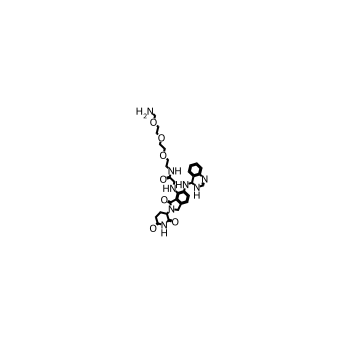 NCOCCOCCOCCNC(=O)CNc1c(NC2NC=Nc3ccccc32)ccc2c1C(=O)N(C1CCC(=O)NC1=O)C2